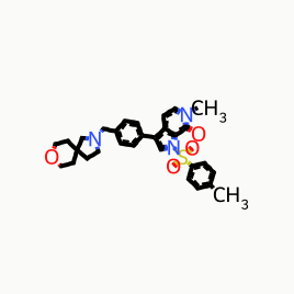 Cc1ccc(S(=O)(=O)n2cc(-c3ccc(CN4CCC5(CCOCC5)C4)cc3)c3ccn(C)c(=O)c32)cc1